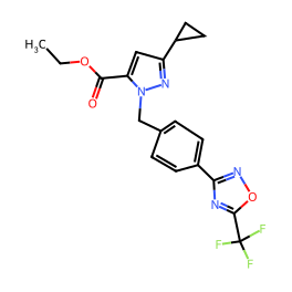 CCOC(=O)c1cc(C2CC2)nn1Cc1ccc(-c2noc(C(F)(F)F)n2)cc1